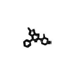 Cc1cc2c(-c3ccccc3)nc(N3CCNCC3C)nc2s1